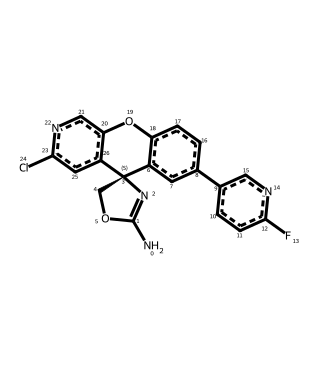 NC1=N[C@@]2(CO1)c1cc(-c3ccc(F)nc3)ccc1Oc1cnc(Cl)cc12